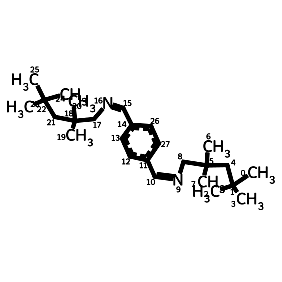 CC(C)(C)CC(C)(C)C/N=C\c1ccc(/C=N\CC(C)(C)CC(C)(C)C)cc1